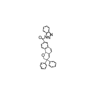 O=C(c1ccc2c(c1)C=CC1=CC(c3ccccc3)(c3ccccc3)COC12)n1nnc2ccccc21